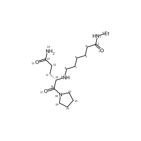 CCNC(=O)CCCCCN[C@@H](CCC(N)=O)C(=O)N1CCCC1